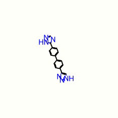 c1n[nH]c(-c2ccc(-c3ccc(-c4c[nH]nn4)cc3)cc2)n1